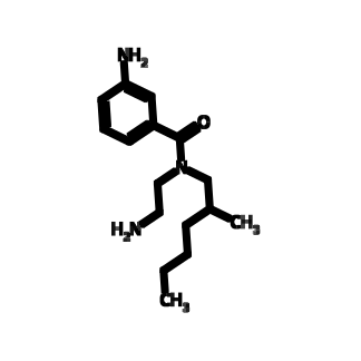 CCCCC(C)CN(CCN)C(=O)c1cccc(N)c1